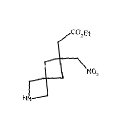 CCOC(=O)CC1(C[N+](=O)[O-])CC2(CNC2)C1